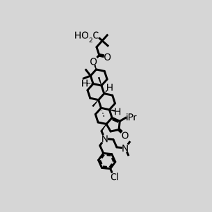 CC(C)C1=C2[C@H]3CC[C@@H]4[C@@]5(C)CC[C@H](OC(=O)CC(C)(C)C(=O)O)C(C)(C)[C@@H]5CC[C@@]4(C)[C@]3(C)CC[C@@]2(CN(CCN(C)C)Cc2ccc(Cl)cc2)CC1=O